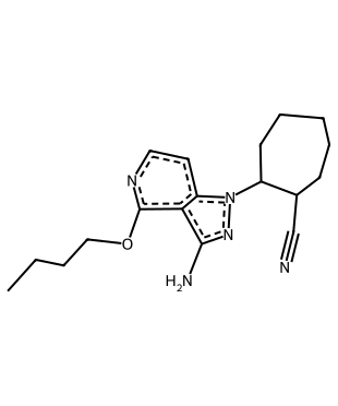 CCCCOc1nccc2c1c(N)nn2C1CCCCCC1C#N